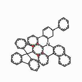 C1=CC(c2ccccc2)CC(N(c2ccc3c(c2)-c2ccccc2C32c3ccccc3-c3ccccc32)c2ccc3ccccc3c2-c2ccccc2)=C1c1ccccc1